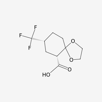 O=C(O)[C@@H]1C[C@H](C(F)(F)F)CCC12OCCO2